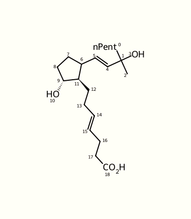 CCCCCC(C)(O)C=CC1CC[C@@H](O)[C@@H]1CCC=CCCC(=O)O